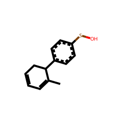 CC1=CC=CCC1c1ccc(SO)cc1